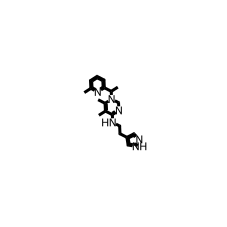 CC1=C(C)N(C(C)c2cccc(C)n2)CN=C1NCCc1cn[nH]c1